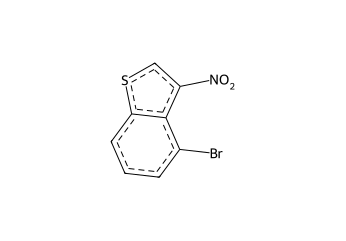 O=[N+]([O-])c1csc2cccc(Br)c12